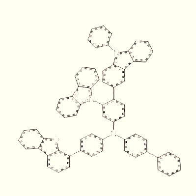 c1ccc(-c2ccc(N(c3ccc(-c4cccc5c4oc4ccccc45)cc3)c3ccc(-c4ccc5c(c4)c4ccccc4n5-c4ccccc4)c(-n4c5ccccc5c5ccccc54)c3)cc2)cc1